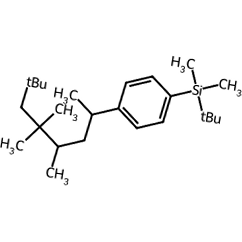 CC(CC(C)C(C)(C)CC(C)(C)C)c1ccc([Si](C)(C)C(C)(C)C)cc1